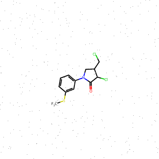 O=C1C(Cl)C(CCl)CN1c1cccc(SC(F)(F)F)c1